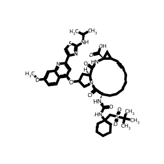 COc1ccc2c(OC3C[C@H]4C(=O)N[C@]5(C(=O)O)CC5/C=C\CCCCC[C@H](NC(=O)NC5(CS(=O)(=O)C(C)(C)C)CCCCC5)C(=O)N4C3)cc(-c3csc(NC(C)C)n3)nc2c1